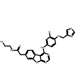 O=C(Cc1ccc2c(c1)sc1ncnc(Nc3ccc(OCc4cscn4)c(Cl)c3)c12)NCCO